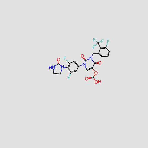 O=C(O)Oc1cn(-c2cc(F)c(N3CCNC3=O)c(F)c2)c(=O)n(Cc2cccc(F)c2C(F)(F)F)c1=O